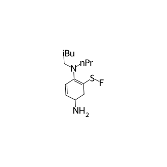 CCCN(CC(C)CC)C1=C(SF)CC(N)C=C1